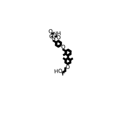 Cc1cc(OCC[C@@H](C)O)cc(C)c1-c1cccc(COc2ccc(Cn3oc(=O)[nH]c3=O)cc2)c1C